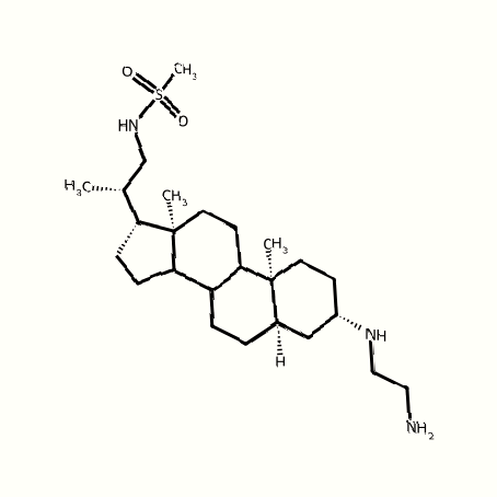 C[C@H](CNS(C)(=O)=O)[C@H]1CCC2C3CC[C@@H]4C[C@@H](NCCN)CC[C@]4(C)C3CC[C@@]21C